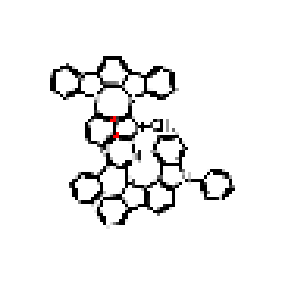 Cn1c(-n2c3ccccc3c3ccc4c5ccccc5n(-c5ccccc5)c4c32)nc2nc(-c3ccccc3)c(-n3c4ccccc4c4ccc5c(c6ccccc6n5-c5ccccc5)c43)nc21